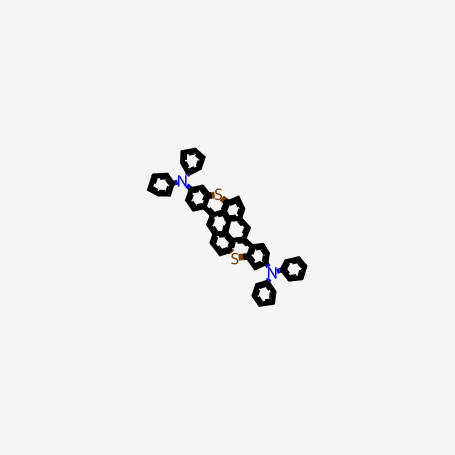 c1ccc(N(c2ccccc2)c2ccc3c(c2)sc2ccc4cc5c6ccc(N(c7ccccc7)c7ccccc7)cc6sc6ccc7cc3c2c4c7c65)cc1